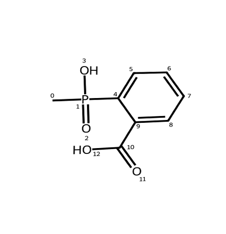 CP(=O)(O)c1ccccc1C(=O)O